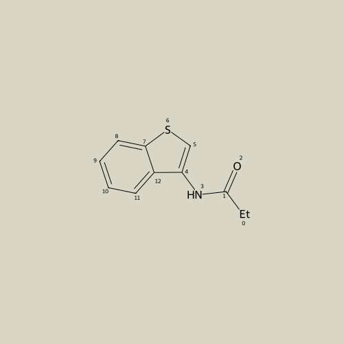 CCC(=O)Nc1csc2ccccc12